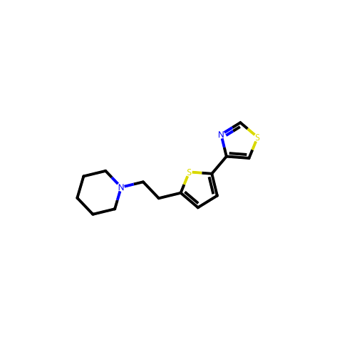 c1nc(-c2ccc(CCN3CCCCC3)s2)cs1